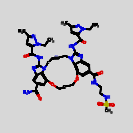 CCn1nc(C)cc1C(=O)Nc1nc2cc(C(N)=O)cc3c2n1C/C=C/Cn1c(NC(=O)c2cc(C)nn2CC)nc2cc(C(=O)NCCNS(C)(=O)=O)cc(c21)OCCCO3